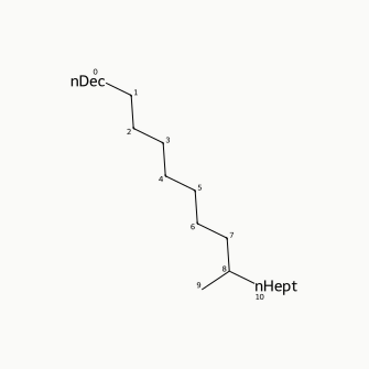 [CH2]CCCCCCCCCCCCCCCCC(C)CCCCCC[CH2]